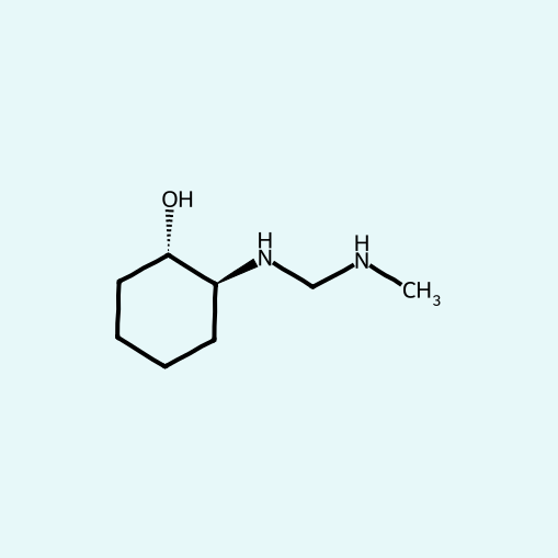 CNCN[C@H]1CCCC[C@@H]1O